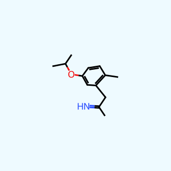 CC(=N)Cc1cc(OC(C)C)ccc1C